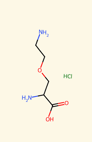 Cl.NCCOCC(N)C(=O)O